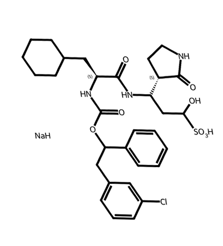 O=C(N[C@@H](CC1CCCCC1)C(=O)NC(CC(O)S(=O)(=O)O)[C@@H]1CCNC1=O)OC(Cc1cccc(Cl)c1)c1ccccc1.[NaH]